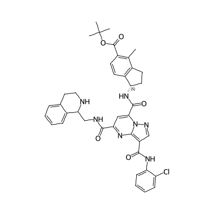 Cc1c(C(=O)OC(C)(C)C)ccc2c1CC[C@@H]2NC(=O)c1cc(C(=O)NCC2NCCc3ccccc32)nc2c(C(=O)Nc3ccccc3Cl)cnn12